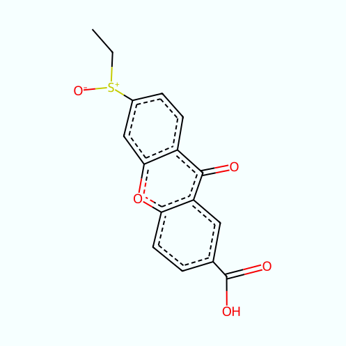 CC[S+]([O-])c1ccc2c(=O)c3cc(C(=O)O)ccc3oc2c1